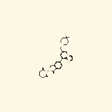 O=C1c2ccc(-c3cc(CN4CCC(F)(F)CC4)cn4ccnc34)cc2CN1N1C(=O)CCCC1=O